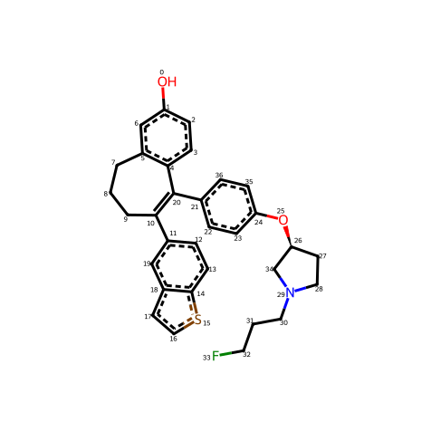 Oc1ccc2c(c1)CCCC(c1ccc3sccc3c1)=C2c1ccc(O[C@H]2CCN(CCCF)C2)cc1